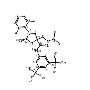 Cc1cccc(C)c1N1CC(CCC(C)C)(C(=O)Nc2cc(C(F)(F)F)cc(C(F)(F)F)c2)CC1=O